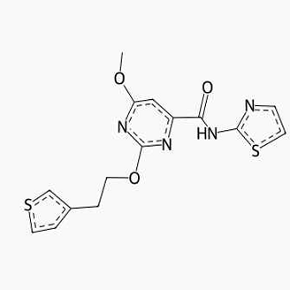 COc1cc(C(=O)Nc2nccs2)nc(OCCc2ccsc2)n1